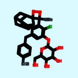 COC1(c2cc(Cc3ccc(C=O)cc3)cc(OC3OC(CO)C(O)C(O)C3O)c2Cl)OOC12C1CC3CC(C1)CC2C3